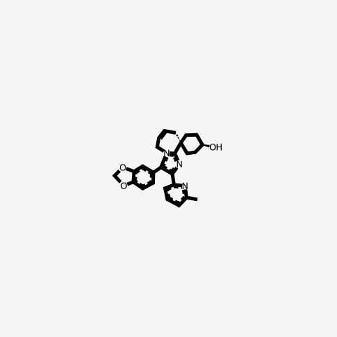 Cc1cccc(-c2nc3n(c2-c2ccc4c(c2)OCO4)CC=CC[C@]32CC[C@H](O)CC2)n1